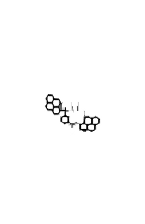 CC(O)(c1cccc(C(O)Cc2ccc3ccc4cccc5ccc2c3c45)c1)c1ccc2ccc3cccc4ccc1c2c34